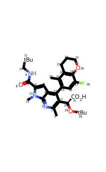 Cc1nc2c(cc(C(=O)NCC(C)(C)C)n2C)c(-c2cc(F)c3c(c2C)CCCO3)c1[C@H](OC(C)(C)C)C(=O)O